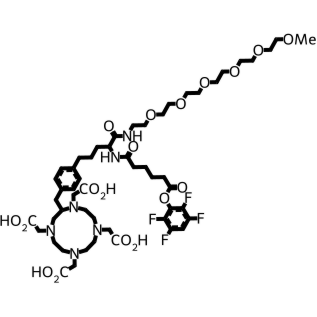 COCCOCCOCCOCCOCCOCCNC(=O)C(CCCc1ccc(CC2CN(CC(=O)O)CCN(CC(=O)O)CCN(CC(=O)O)CCN2CC(=O)O)cc1)NC(=O)CCCCC(=O)Oc1c(F)c(F)cc(F)c1F